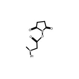 CC(C)N(C)CC(=O)ON1C(=O)CCC1=O